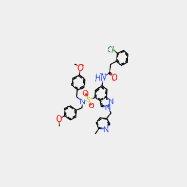 COc1ccc(CN(Cc2ccc(OC)cc2)S(=O)(=O)c2cc(NC(=O)Cc3ccccc3Cl)cc3nn(Cc4ccc(C)nc4)cc23)cc1